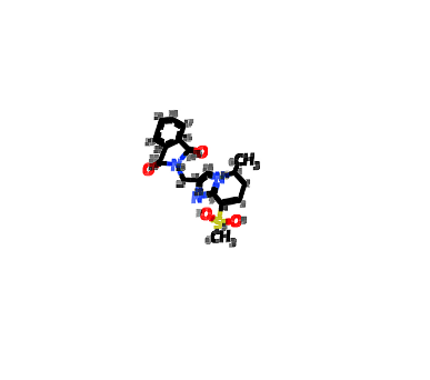 CC1CC=C(S(C)(=O)=O)c2nc(CN3C(=O)c4ccccc4C3=O)cn21